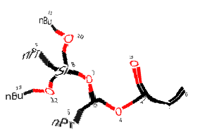 C=CC(=O)OC(CCC)O[Si](CCC)(OCCCC)OCCCC